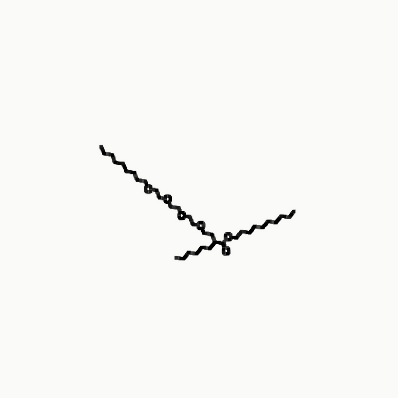 CCCCCCCCCCOC(=O)C(CCCCCC)CCOCCOCCOCCOCCCCCCCCC